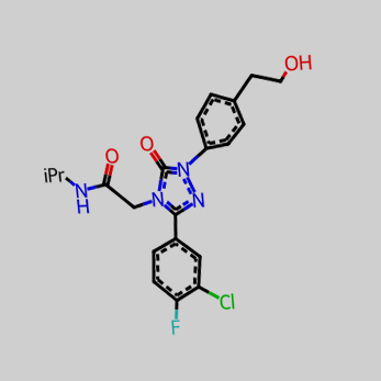 CC(C)NC(=O)Cn1c(-c2ccc(F)c(Cl)c2)nn(-c2ccc(CCO)cc2)c1=O